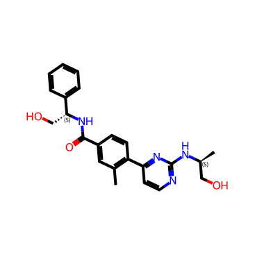 Cc1cc(C(=O)N[C@H](CO)c2ccccc2)ccc1-c1ccnc(N[C@@H](C)CO)n1